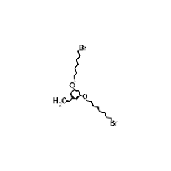 C=Cc1cc(OCCCCCCCCBr)cc(OCCCCCCCCBr)c1